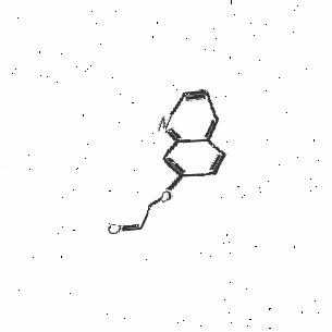 O=CCOc1ccc2cccnc2c1